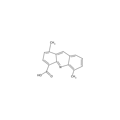 Cc1ccc(C(=O)O)c2nc3c(C)cccc3cc12